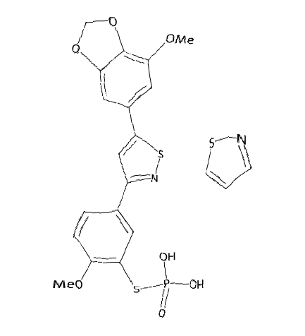 COc1ccc(-c2cc(-c3cc(OC)c4c(c3)OCO4)sn2)cc1SP(=O)(O)O.c1cnsc1